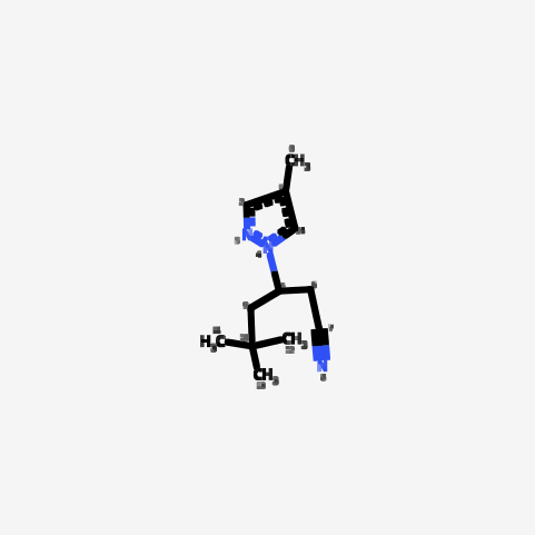 Cc1cnn(C(CC#N)CC(C)(C)C)c1